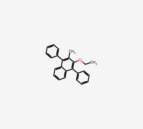 CCOc1c(C)c(-c2ccccc2)c2ccccc2c1-c1ccccc1